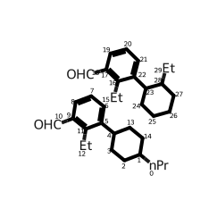 CCCC1CCC(c2cccc(C=O)c2CC)CC1.CCc1c(C=O)cccc1C1CCCCC1CC